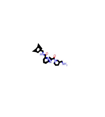 NCC1CCCN(C(=O)c2cn3c(C(=O)NCC45CC6CC6C6(CC6C4)C5)cccc3n2)C1